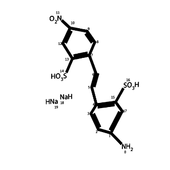 Nc1ccc(C=Cc2ccc([N+](=O)[O-])cc2S(=O)(=O)O)c(S(=O)(=O)O)c1.[NaH].[NaH]